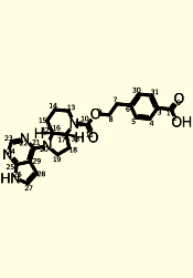 O=C(O)c1ccc(CCOC(=O)N2CCC[C@@H]3[C@H]2CCN3c2ncnc3[nH]ccc23)cc1